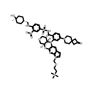 C[Si](C)(C)CCOCn1ccc2cc3c(nc21)O[C@H]1COCC[C@@H]1N3c1cc(N2CCC3(CC2)CC(=O)C3)ccc1C(=O)NS(=O)(=O)c1ccc(NC[C@H]2CC[C@](C)(O)CC2)c([N+](=O)[O-])c1